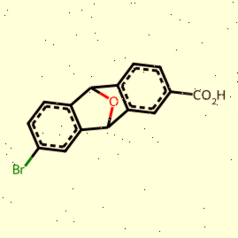 O=C(O)c1ccc2c(c1)C1OC2c2ccc(Br)cc21